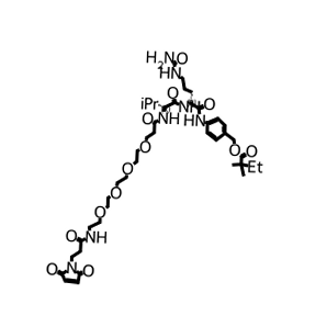 CCC(C)(C)C(=O)OCc1ccc(NC(=O)[C@@H](CCCNC(N)=O)NC(=O)[C@H](NC(=O)CCOCCOCCOCCOCCNC(=O)CCN2C(=O)C=CC2=O)C(C)C)cc1